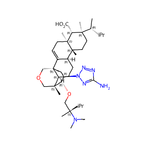 CC(C)[C@@H](C)[C@@]1(C)CC[C@]2(C)[C@H]3CC[C@@H]4[C@@]5(COC[C@@]4(C)[C@@H](OC[C@](C)(C(C)C)N(C)C)[C@H](n4nnc(N)n4)C5)C3=CC[C@@]2(C)[C@@H]1C(=O)O